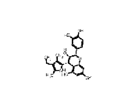 CCc1c(C)[nH]c([C@H]2c3c(O)cc(O)cc3O[C@H](c3ccc(O)c(O)c3)[C@@H]2O)c1C